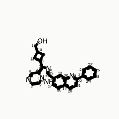 N[N+]12C=CN=CC1=C(C1CC(CO)C1)N=C2c1ccc2ccc(-c3ccccc3)nc2c1